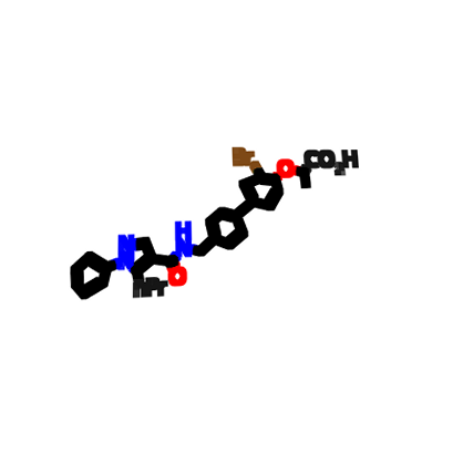 CCCc1c(C(=O)NCc2ccc(-c3ccc(OC(C)C(=O)O)c(Br)c3)cc2)cnn1-c1ccccc1